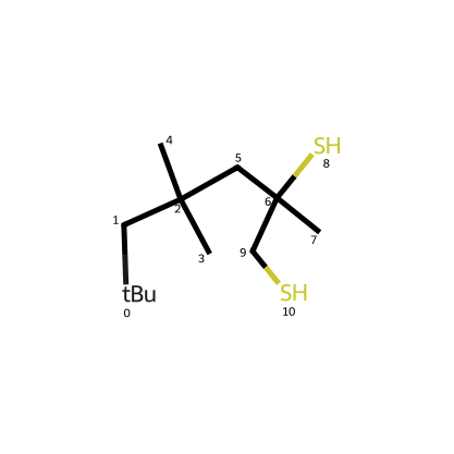 CC(C)(C)CC(C)(C)CC(C)(S)CS